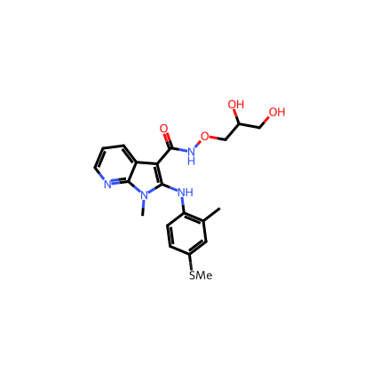 CSc1ccc(Nc2c(C(=O)NOCC(O)CO)c3cccnc3n2C)c(C)c1